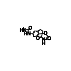 CNC(=O)Nc1ccc2c(c1)CCC21OC2OC2NC1=O